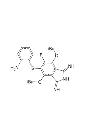 CCC(C)Oc1c(F)c(Sc2ccccc2N)c(OC(C)CC)c2c1C(=N)NC2=N